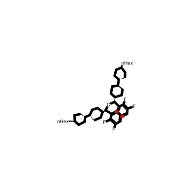 CCCCCC[C@H]1CC[C@H]([C@H]2CC[C@H](C(OC(c3cccc(F)c3F)[C@H]3CC[C@H]([C@H]4CC[C@H](CCCCCC)CC4)CC3)c3cccc(F)c3F)CC2)CC1